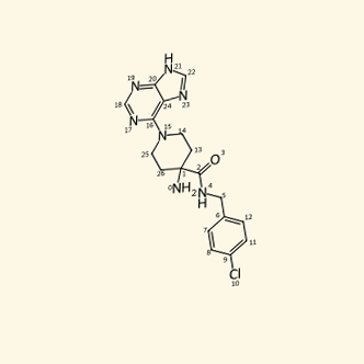 NC1(C(=O)NCc2ccc(Cl)cc2)CCN(c2ncnc3[nH]cnc23)CC1